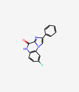 O=c1[nH]c2ccc(F)cc2n2cc(-c3ccccc3)nc12